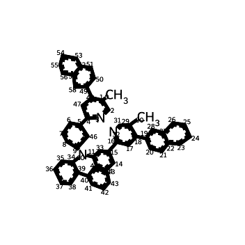 Cc1cnc(-c2cccc(N(c3cccc(-c4cc(-c5ccc6ccccc6c5)c(C)cn4)c3)c3ccccc3-c3ccccc3)c2)cc1-c1ccc2ccccc2c1